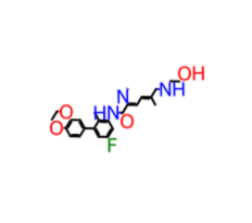 C=N/C(=C\C=C(/C)CNCCO)C(=O)Nc1cc(F)cc(-c2ccc3c(c2)OCCO3)c1C